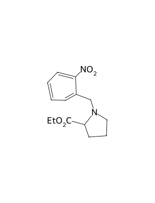 CCOC(=O)C1CCCN1Cc1ccccc1[N+](=O)[O-]